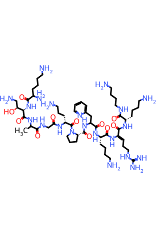 CC(NC(=O)[C@@H](NC(=O)C(N)CCCCN)[C@@H](O)CN)C(=O)NCC(=O)N[C@H](CCCN)C(=O)N1CCC[C@H]1C(=O)NC(Cc1ccccn1)C(=O)N[C@@H](CCCCN)C(=O)N/C(=C\CCNC(=N)N)C(=O)N[C@@H](CCCCN)C(=O)NCCCCN